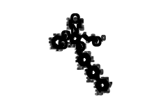 COC=CC[C@@H]1[C@@H](N2CCOCC2)[C@H](OC2CCCCO2)C[C@@H]1OCc1ccc(-c2ccc(-c3ccccc3)cc2)cc1